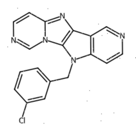 Clc1cccc(Cn2c3ccncc3c3nc4ccncn4c32)c1